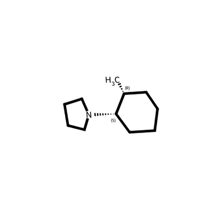 C[C@@H]1CCCC[C@@H]1N1CCCC1